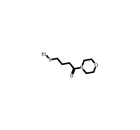 CCSCCCC(=O)N1CCOCC1